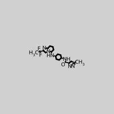 Cn1cc(C(=O)Nc2ccc(Nc3cccc4nc(C(C)(F)F)cn34)cc2)nn1